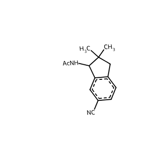 CC(=O)NC1c2cc(C#N)ccc2CC1(C)C